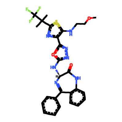 COCCNc1sc(C(C)(C)C(F)(F)F)nc1-c1nnc(N[C@H]2N=C(c3ccccc3)c3ccccc3NC2=O)o1